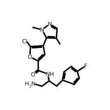 Cc1cnn(C)c1-c1cc(C(=O)NC(CN)Cc2ccc(F)cc2)oc1Cl